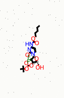 CCCCCOC(=O)Nc1ccn([C@@H]2O[C@H](CO)[C@@H](OC(=O)OC(C)(C)C)C2(F)F)c(=O)n1